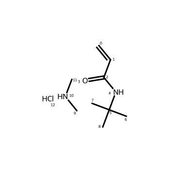 C=CC(=O)NC(C)(C)C.CNC.Cl